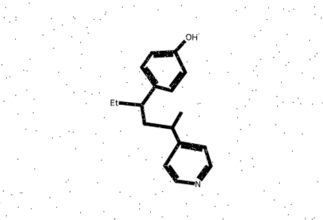 CCC(CC(C)c1ccncc1)c1ccc(O)cc1